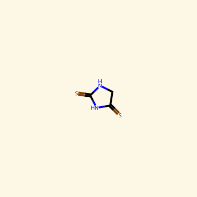 S=C1CNC(=S)N1